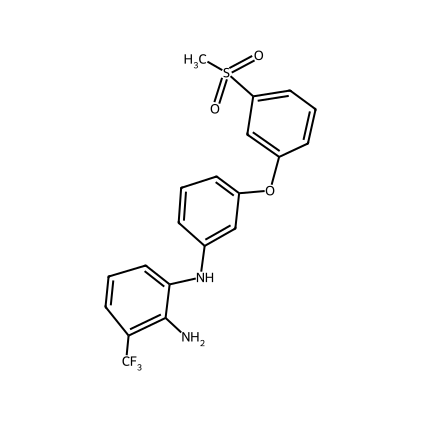 CS(=O)(=O)c1cccc(Oc2cccc(Nc3cccc(C(F)(F)F)c3N)c2)c1